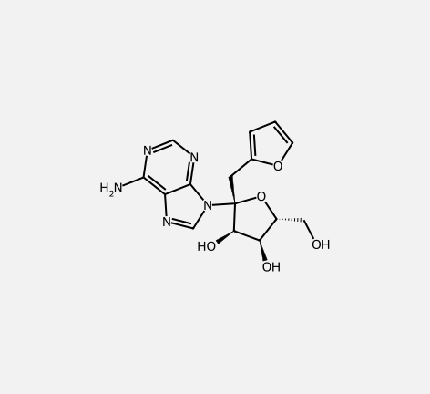 Nc1ncnc2c1ncn2[C@]1(Cc2ccco2)O[C@H](CO)[C@@H](O)[C@H]1O